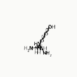 NCCCNC1=NC(NCCOCCOCCOCCOCCO)=NC(NCCCN)N1